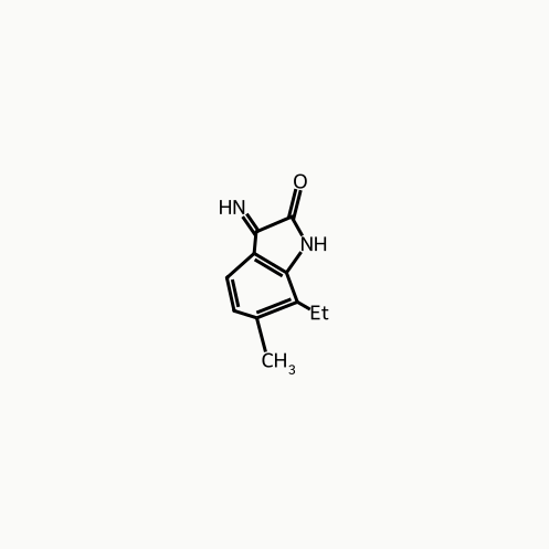 CCc1c(C)ccc2c1NC(=O)C2=N